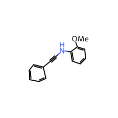 COc1ccccc1NC#Cc1ccccc1